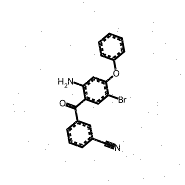 N#Cc1cccc(C(=O)c2cc(Br)c(Oc3ccccc3)cc2N)c1